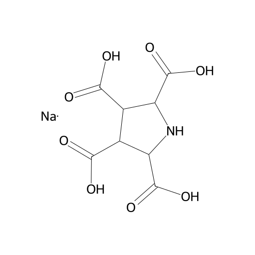 O=C(O)C1NC(C(=O)O)C(C(=O)O)C1C(=O)O.[Na]